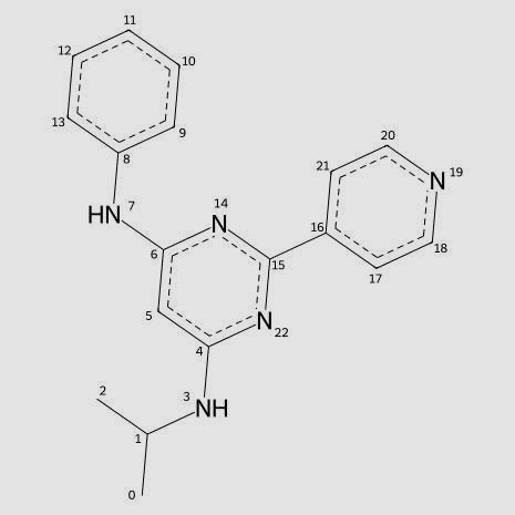 CC(C)Nc1cc(Nc2ccccc2)nc(-c2ccncc2)n1